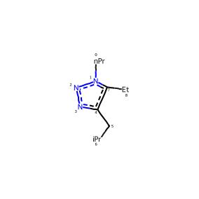 CCCn1nnc(CC(C)C)c1CC